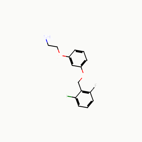 CCc1cccc(Cl)c1COc1cccc(OCCN)c1